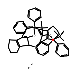 CC(C)(C)[Si](OC1=C2CCC3=C(O[Si](c4ccccc4)(c4ccccc4)C(C)(C)C)[CH]([Zr+2][CH]1C1=C2CCCC1)C1=C3CCCC1)(c1ccccc1)c1ccccc1.[Cl-].[Cl-]